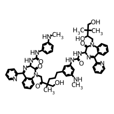 CNc1cccc(NC(=O)NC2N=C(c3ccccn3)c3ccccc3N(CC(=O)C(C)(CO)CCCc3cc(NC)cc(NC(=O)NC4N=C(c5ccccn5)c5ccccc5N(CC(O)C(C)(C)CO)C4=O)c3)C2=O)c1